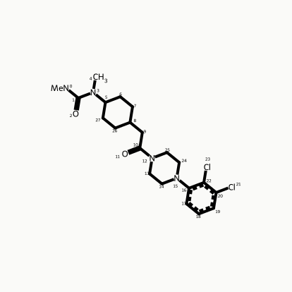 CNC(=O)N(C)C1CCC(CC(=O)N2CCN(c3cccc(Cl)c3Cl)CC2)CC1